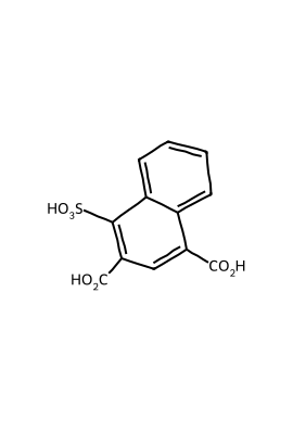 O=C(O)c1cc(C(=O)O)c2ccccc2c1S(=O)(=O)O